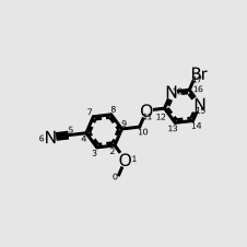 COc1cc(C#N)ccc1COc1ccnc(Br)n1